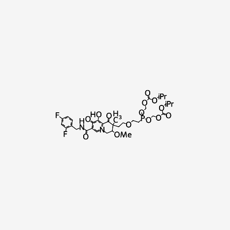 COC1Cn2cc(C(=O)NCc3ccc(F)cc3F)c(=O)c(O)c2C(=O)C1(C)CCOCCP(OCOC(=O)OC(C)C)OCOC(=O)OC(C)C